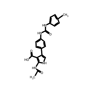 CC(=O)Nc1[nH]cc(-c2ccc(NC(=O)Nc3ccc(C)cc3)cc2)c1C(=O)O